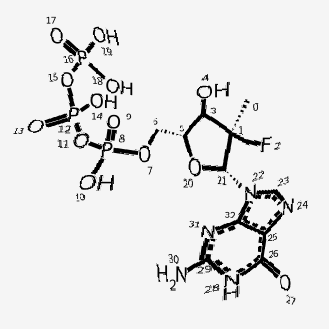 C[C@@]1(F)C(O)[C@@H](COP(=O)(O)OP(=O)(O)OP(=O)(O)O)O[C@H]1n1cnc2c(=O)[nH]c(N)nc21